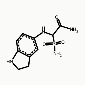 NC(=O)C(Nc1ccc2c(c1)CCN2)S(N)(=O)=O